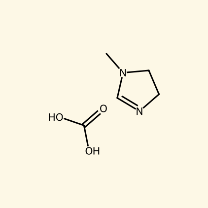 CN1C=NCC1.O=C(O)O